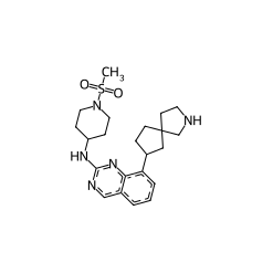 CS(=O)(=O)N1CCC(Nc2ncc3cccc(C4CCC5(CCNC5)C4)c3n2)CC1